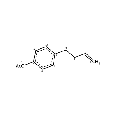 C=CCCc1ccc(OC(C)=O)cc1